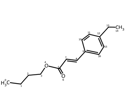 CCCCOC(=O)C=Cc1ccc(CC)cc1